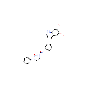 COc1cc2nccc(Oc3ccc(NC(=O)N4CCN(c5ccccc5)C4=O)cc3)c2cc1OC